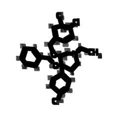 CCN1CC[C@](OCc2ccccc2)(c2ccc(Cl)cc2)[C@@H](OCc2ccc(Cl)c(Cl)c2)C1